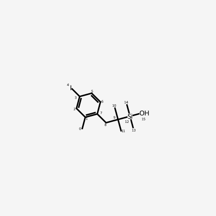 Cc1cc(I)ccc1CC(C)(C)[Si](C)(C)O